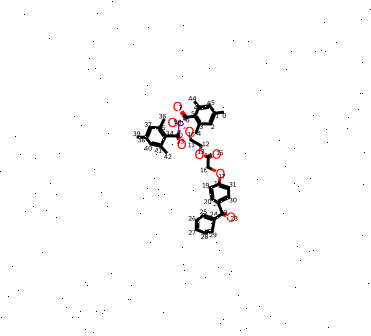 Cc1cc(C)c(C(=O)P(=O)(OCCOC(=O)COc2ccc(C(=O)c3ccccc3)cc2)C(=O)c2c(C)cc(C)cc2C)c(C)c1